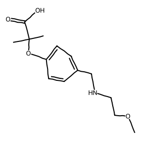 COCCNCc1ccc(OC(C)(C)C(=O)O)cc1